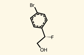 OC[C@@H](F)c1ccc(Br)cc1